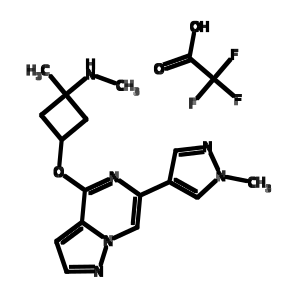 CNC1(C)CC(Oc2nc(-c3cnn(C)c3)cn3nccc23)C1.O=C(O)C(F)(F)F